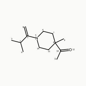 C=C(C(C)C)N1CCC(C)(C(C)=O)CC1